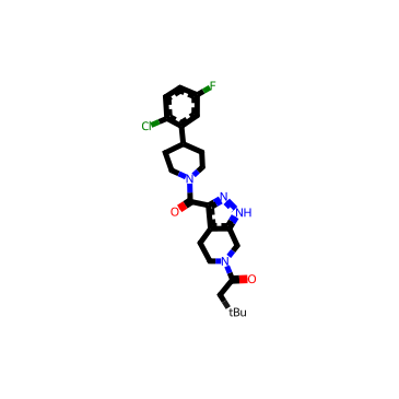 CC(C)(C)CC(=O)N1CCc2c(C(=O)N3CCC(c4cc(F)ccc4Cl)CC3)n[nH]c2C1